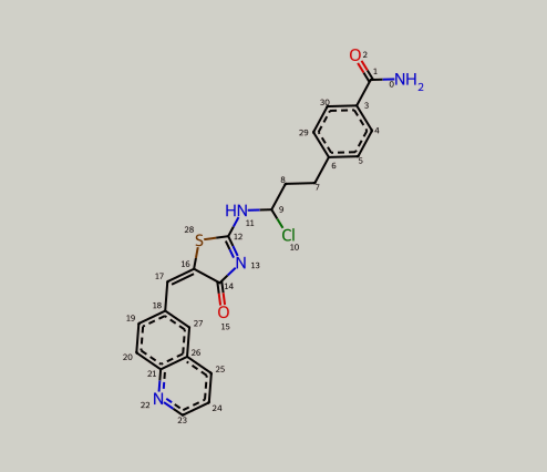 NC(=O)c1ccc(CCC(Cl)NC2=NC(=O)C(=Cc3ccc4ncccc4c3)S2)cc1